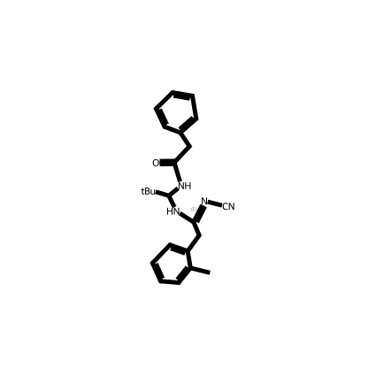 Cc1ccccc1C/C(=N\C#N)NC(NC(=O)Cc1ccccc1)C(C)(C)C